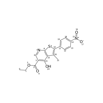 CCOC(=O)c1cnc2sc(-c3ccc([N+](=O)[O-])cc3)c(C)c2c1O